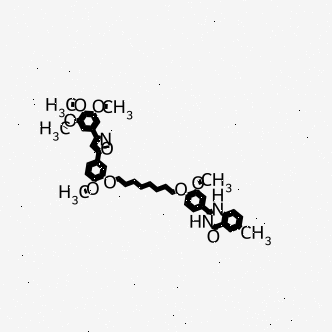 COc1cc(C2NC(=O)c3cc(C)ccc3N2)ccc1OCCCCCCCCOc1cc(-c2cc(-c3cc(OC)c(OC)c(OC)c3)no2)ccc1OC